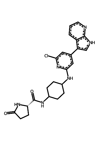 O=C1CC[C@@H](C(=O)NC2CCC(Nc3cc(-c4c[nH]c5ncccc45)cc(Cl)n3)CC2)N1